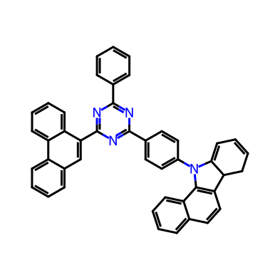 C1=CCC2C(=C1)N(c1ccc(-c3nc(-c4ccccc4)nc(-c4cc5ccccc5c5ccccc45)n3)cc1)c1c2ccc2ccccc12